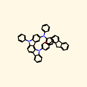 c1ccc(N(c2ccccc2)c2ccc3c(c2)c2c(ccc4c5ccccc5n(-c5ccc(-c6cccc7c6Cc6ccccc6-7)cc5)c42)n3-c2ccccc2)cc1